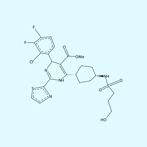 COC(=O)C1=C([C@H]2CC[C@H](NS(=O)(=O)CCCO)CC2)NC(c2nccs2)=NC1c1ccc(F)c(F)c1Cl